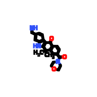 CC1(C)c2cc(C(=O)N3CCOCC3)ccc2C(=O)c2c1[nH]c1cc(C=N)ccc21